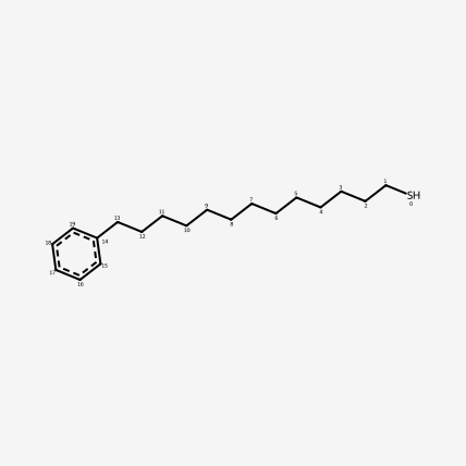 SCCCCCCCCCCCCCc1ccccc1